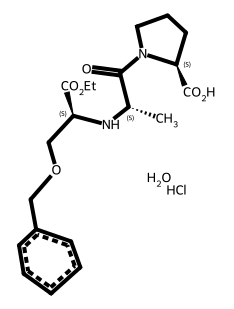 CCOC(=O)[C@H](COCc1ccccc1)N[C@@H](C)C(=O)N1CCC[C@H]1C(=O)O.Cl.O